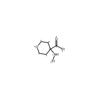 CCNC1(C(=O)CC)CCOCC1